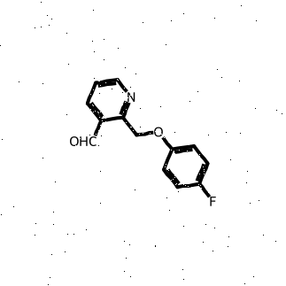 O=Cc1cccnc1COc1ccc(F)cc1